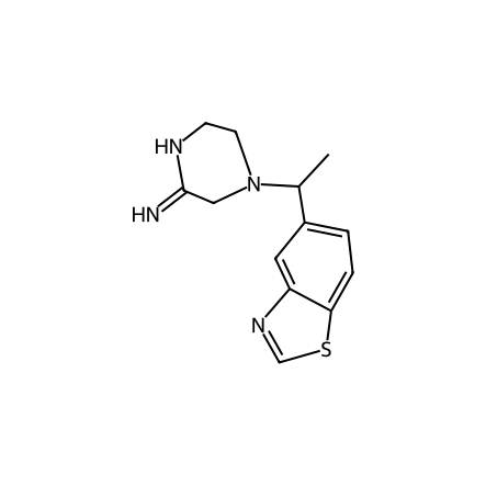 CC(c1ccc2scnc2c1)N1CCNC(=N)C1